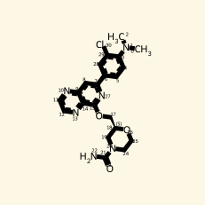 CN(C)c1ccc(-c2cc3nccnc3c(OC[C@@H]3CN(C(N)=O)CCO3)n2)cc1Cl